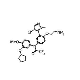 COc1ccc(N(C(=O)C(F)(F)F)c2ccc(OCCN)c(-c3c(Cl)cnn3C)c2)cc1OC1CCCC1